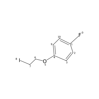 Fc1ccc(OCCI)cc1